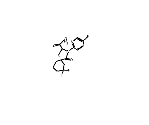 NC(=O)C1C[C@]2(C[CH]CC(F)(F)C2)C(=O)N1c1ccc(F)cn1